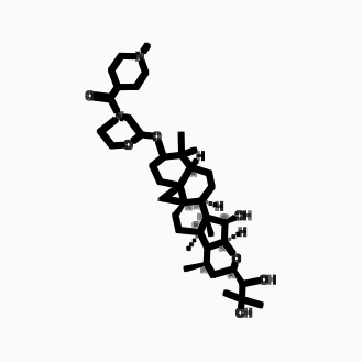 C[C@@H]1C[C@H](C(O)C(C)(C)O)O[C@H]2C1[C@@]1(C)CC[C@@]34CC35CCC(OC3CN(C(=O)C6CCN(C)CC6)CCO3)C(C)(C)[C@@H]5CC[C@H]4[C@]1(C)[C@H]2O